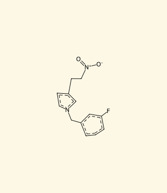 O=[N+]([O-])CCc1ccn(Cc2cccc(F)c2)c1